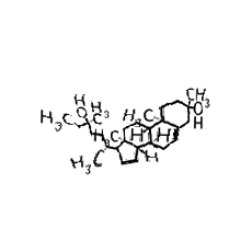 CC[C@@](C)(O)CC[C@@H](C)C1CC[C@H]2[C@@H]3CC=C4C[C@@](C)(O)CC[C@]4(C)[C@H]3CC[C@]12C